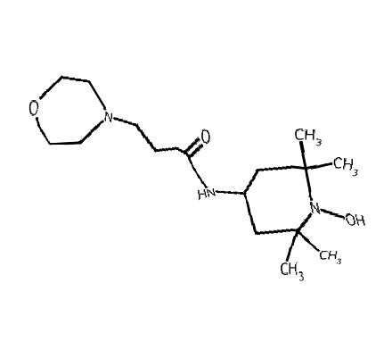 CC1(C)CC(NC(=O)CCN2CCOCC2)CC(C)(C)N1O